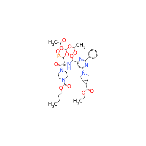 CCCCOC(=O)N1CCN(C(=O)[C@@H](NC(=O)c2cc(N3CC4C(C3)C4C(=O)OCC)nc(-c3ccccc3)n2)C(OC(OC(C)=O)OC(C)=O)P=O)CC1